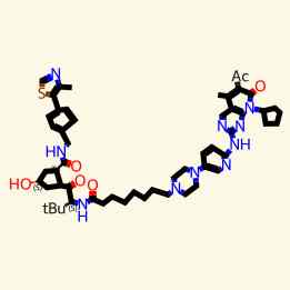 CC(=O)c1c(C)c2cnc(Nc3ccc(N4CCN(CCCCCCCC(=O)N[C@H](C(=O)C5C[C@H](O)C[C@H]5C(=O)NCc5ccc(-c6scnc6C)cc5)C(C)(C)C)CC4)cn3)nc2n(C2CCCC2)c1=O